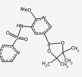 COc1ncc(B2OC(C)(C)C(C)(C)O2)cc1NS(=O)(=O)c1ccccn1